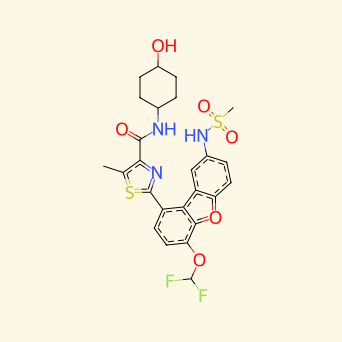 Cc1sc(-c2ccc(OC(F)F)c3oc4ccc(NS(C)(=O)=O)cc4c23)nc1C(=O)NC1CCC(O)CC1